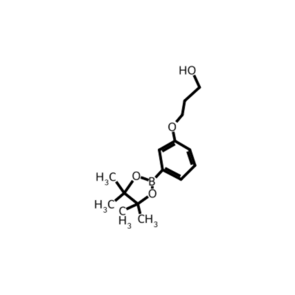 CC1(C)OB(c2cccc(OCCCO)c2)OC1(C)C